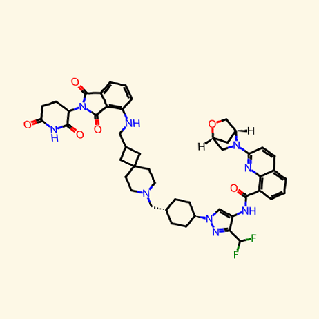 O=C1CCC(N2C(=O)c3cccc(NCC4CC5(CCN(C[C@H]6CC[C@H](n7cc(NC(=O)c8cccc9ccc(N%10C[C@H]%11C[C@@H]%10CO%11)nc89)c(C(F)F)n7)CC6)CC5)C4)c3C2=O)C(=O)N1